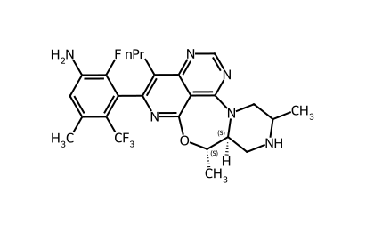 CCCc1c(-c2c(F)c(N)cc(C)c2C(F)(F)F)nc2c3c(ncnc13)N1CC(C)NC[C@H]1[C@H](C)O2